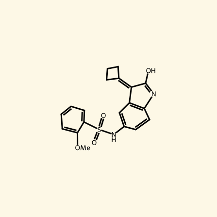 COc1ccccc1S(=O)(=O)Nc1ccc2c(c1)C(=C1CCC1)C(O)=N2